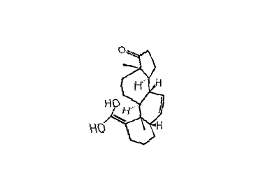 C[C@]12C(=C(O)O)CCC[C@H]1C=C[C@@H]1[C@@H]2CC[C@]2(C)C(=O)CC[C@@H]12